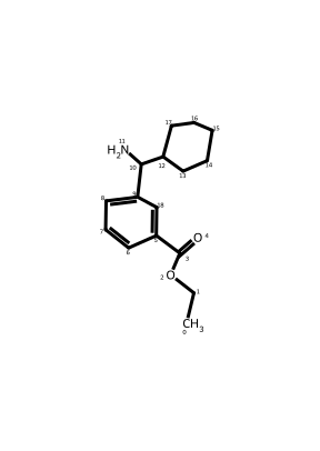 CCOC(=O)c1cccc(C(N)C2CCCCC2)c1